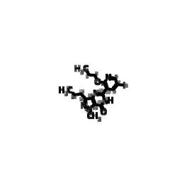 CCCOc1ncc(I)cc1-c1nc2c(CCC)nn(C)c2c(=O)[nH]1